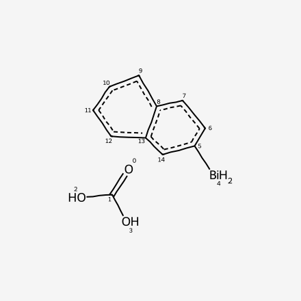 O=C(O)O.[BiH2][c]1ccc2ccccc2c1